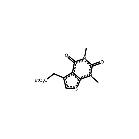 CCOC(=O)Cc1csc2c1c(=O)n(C)c(=O)n2C